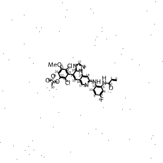 C=CC(=O)Nc1cc(F)ccc1Nc1cc2c(cn1)cc(-c1c(Cl)c(OC)cc(OS(C)(=O)=O)c1Cl)c1ncnn12